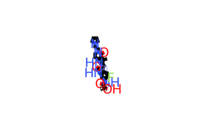 Cc1c(/C=C2\C(=O)Nc3cc(NC(=O)[C@H](C)O)c(F)cc32)[nH]c2c1C(=O)N(CCN1CCCC1)CC2